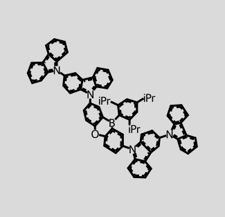 CC(C)c1cc(C(C)C)c(B2c3cc(-n4c5ccccc5c5cc(-n6c7ccccc7c7ccccc76)ccc54)ccc3Oc3ccc(-n4c5ccccc5c5cc(-n6c7ccccc7c7ccccc76)ccc54)cc32)c(C(C)C)c1